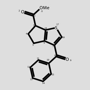 COC(=O)C1CCc2c(C(=O)c3ccccc3)csc21